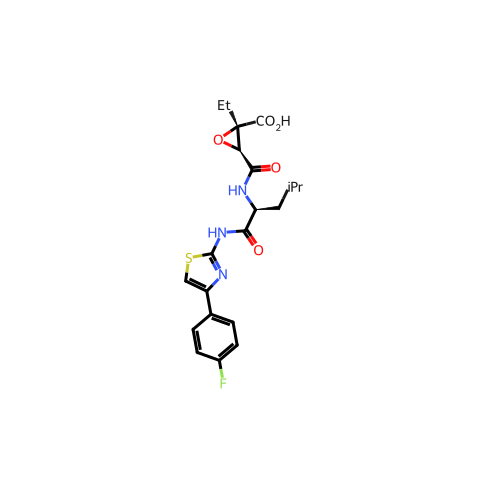 CC[C@]1(C(=O)O)O[C@@H]1C(=O)N[C@@H](CC(C)C)C(=O)Nc1nc(-c2ccc(F)cc2)cs1